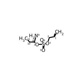 C=CCOS(=O)(=O)OC(N)CC